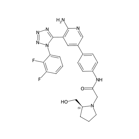 Nc1ncc(-c2ccc(NC(=O)CN3CCC[C@H]3CO)cc2)cc1-c1nnnn1-c1cccc(F)c1F